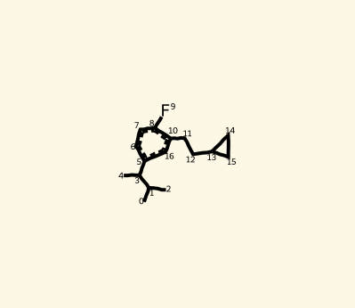 CC(C)C(C)c1ccc(F)c(CCC2CC2)c1